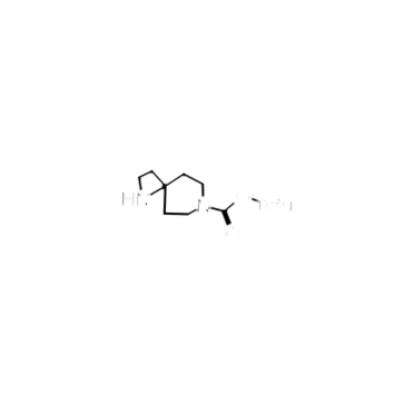 CCCCOC(=O)N1CCC2(CCN2)CC1